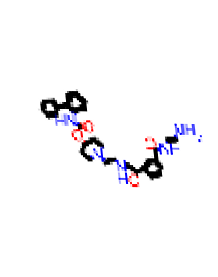 NCCNC(=O)c1cccc(C(=O)CNCCN2CCC(OC(=O)Nc3ccccc3-c3ccccc3)CC2)c1